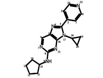 c1cc(-c2nc3cnc(NC4CCCC4)nc3n2C2CC2)ccn1